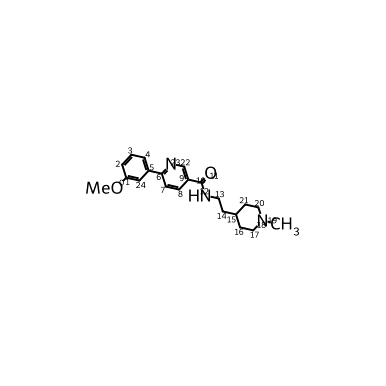 COc1cccc(-c2ccc(C(=O)NCCC3CCN(C)CC3)cn2)c1